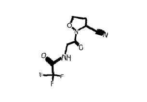 N#CC1CCON1C(=O)CNC(=O)C(F)(F)F